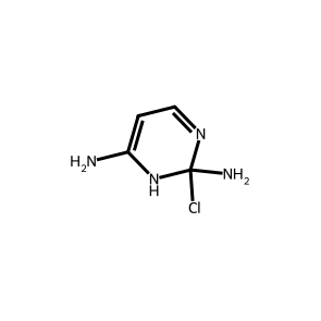 NC1=CC=NC(N)(Cl)N1